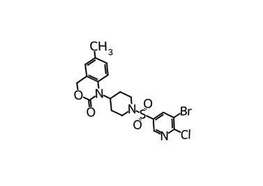 Cc1ccc2c(c1)COC(=O)N2C1CCN(S(=O)(=O)c2cnc(Cl)c(Br)c2)CC1